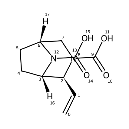 C=C[C@H]1[C@@H]2CC[C@H](CN1C(=O)O)N2C(=O)O